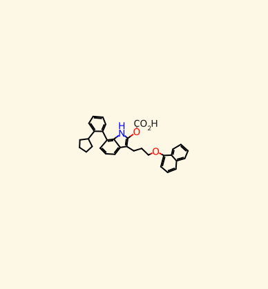 O=C(O)Oc1[nH]c2c(-c3ccccc3C3CCCC3)cccc2c1CCCOc1cccc2ccccc12